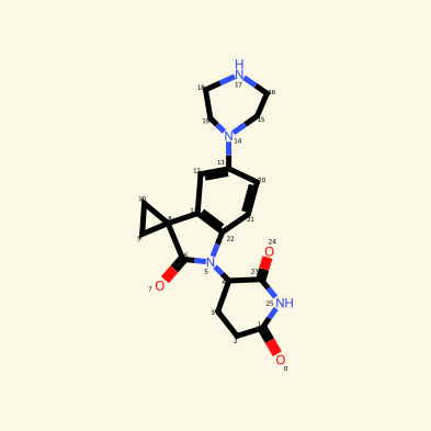 O=C1CCC(N2C(=O)C3(CC3)c3cc(N4CCNCC4)ccc32)C(=O)N1